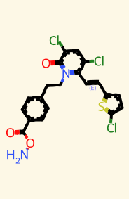 NOC(=O)c1ccc(CCn2c(/C=C/c3ccc(Cl)s3)c(Cl)cc(Cl)c2=O)cc1